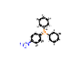 Nc1ccc(P(c2ccccc2)c2ccccc2)cc1